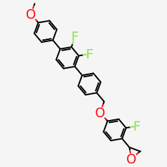 COc1ccc(-c2ccc(-c3ccc(COc4ccc(C5CO5)c(F)c4)cc3)c(F)c2F)cc1